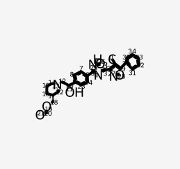 Cc1c(-c2nc(-c3ccc(C(O)CN4CCC[C@H](COC=O)C4)cc3)no2)noc1-c1ccccc1